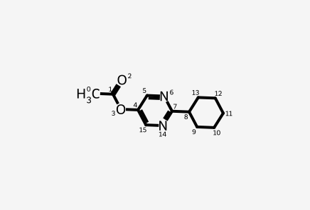 CC(=O)Oc1cnc(C2CCCCC2)nc1